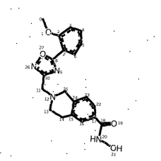 COc1ccccc1-c1nc(CN2CCc3cc(C(=O)NO)ccc3C2)no1